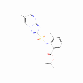 Cc1cnc2nc(S(=O)(=O)Nc3c(C)cccc3C(=O)OC(C)C)nn2c1